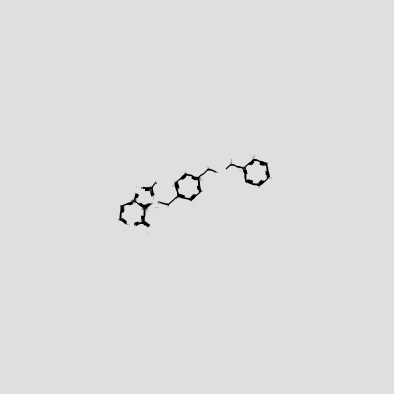 CCCCc1nc2cc[nH]c(=O)c2n1Cc1ccc(COCc2ccccc2)cc1